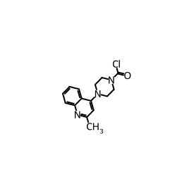 Cc1cc(N2CCN(C(=O)Cl)CC2)c2ccccc2n1